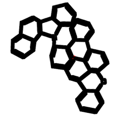 c1ccc2c(c1)Oc1ccc(-c3ccccc3-c3ccccc3-n3c4ccccc4c4ccc5ccccc5c43)c3cccc-2c13